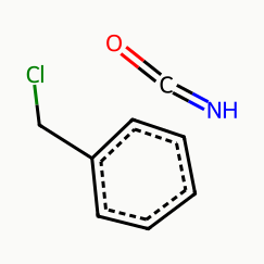 ClCc1ccccc1.N=C=O